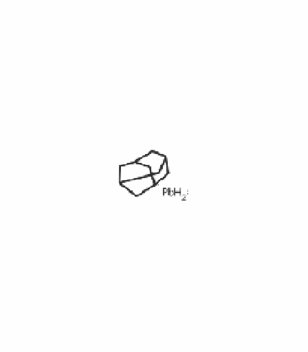 C1[C]2CC3CC1CC(C2)C3.[PbH2]